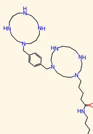 CCCCCNC(=O)CCCCN1CCCN(Cc2ccc(CN3CCCNCCNCCCNCC3)cc2)CCNCCCNCC1